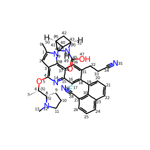 Cc1cc2c(O[C@@H](C)[C@@H]3CCCN3C)nc3c(F)c(-c4cccc5cccc(C#N)c45)c(CCC#N)cc3c2n1[C@H]1[C@@H]2C[C@H]1N(C(=O)O)C2